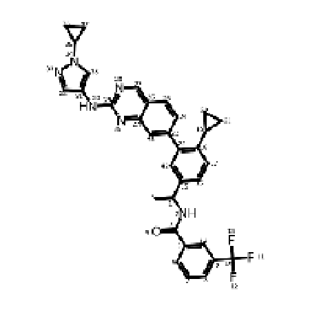 CC(NC(=O)c1cccc(C(F)(F)F)c1)c1ccc(C2CC2)c(-c2ccc3cnc(Nc4cnn(C5CC5)c4)nc3c2)c1